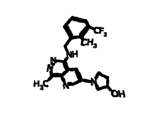 Cc1c(CNc2nnc(C)c3ncc(N4CCC(O)C4)cc23)cccc1C(F)(F)F